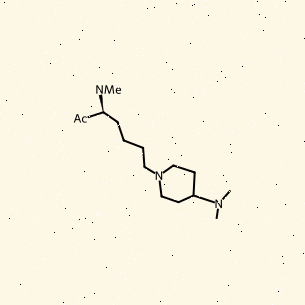 CN[C@@H](CCCCN1CCC(N(C)C)CC1)C(C)=O